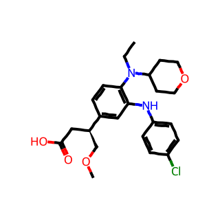 CCN(c1ccc([C@@H](COC)CC(=O)O)cc1Nc1ccc(Cl)cc1)C1CCOCC1